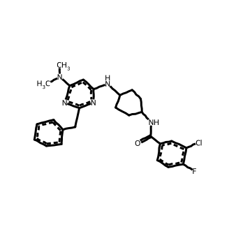 CN(C)c1cc(NC2CCC(NC(=O)c3ccc(F)c(Cl)c3)CC2)nc(Cc2ccccc2)n1